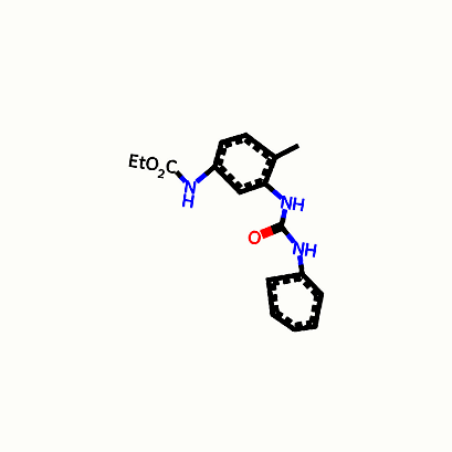 CCOC(=O)Nc1ccc(C)c(NC(=O)Nc2ccccc2)c1